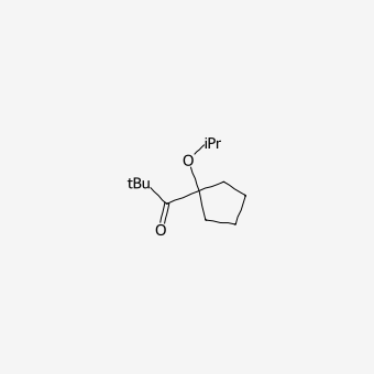 CC(C)OC1(C(=O)C(C)(C)C)CCCC1